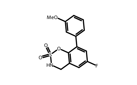 COc1cccc(-c2cc(F)cc3c2OS(=O)(=O)NC3)c1